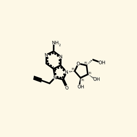 C#CCn1c(=O)n([C@@H]2O[C@H](CO)[C@H](O)[C@H]2O)c2nc(N)ncc21